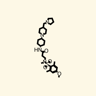 COc1cc(C)c(S(=O)(=O)N(C)CCC(=O)N[C@H]2CC[C@H](N3CCC(CN4CCCC4)CC3)CC2)c(C)c1